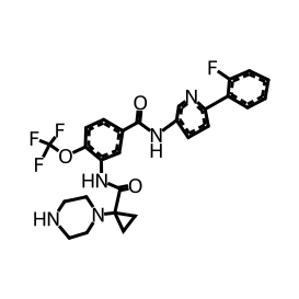 O=C(Nc1ccc(-c2ccccc2F)nc1)c1ccc(OC(F)(F)F)c(NC(=O)C2(N3CCNCC3)CC2)c1